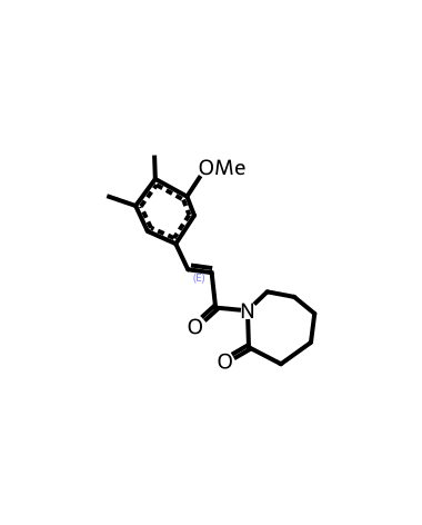 COc1cc(/C=C/C(=O)N2CCCCCC2=O)cc(C)c1C